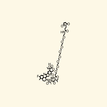 CC[C@@]1(O)C(=O)OCc2c1cc1n(c2=O)Cc2c-1nc1cc(F)c(C)c3c1c2[C@@H](NC(=O)[C@H](C)NC(=O)[C@@H](NC(=O)CCOCCOCCOCCOCCOCCOCCOCCOCCNC(=O)CCN1C(=O)C=CC1=O)C(C)C)CC3